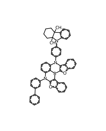 CC12CCCCC1(C)N(c1ccc(N3c4cccc5c4B(c4oc6ccccc6c43)c3c(oc4ccccc34)N5c3cccc(-c4ccccc4)c3)cc1)c1ccccc12